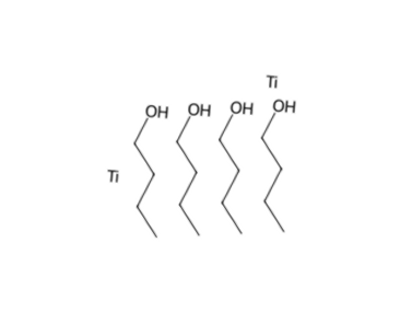 CCCCO.CCCCO.CCCCO.CCCCO.[Ti].[Ti]